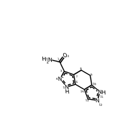 NC(=O)c1n[nH]c2c1CCc1[nH]ncc1-2